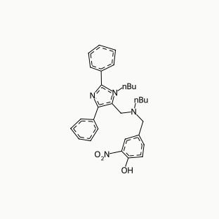 CCCCN(Cc1ccc(O)c([N+](=O)[O-])c1)Cc1c(-c2ccccc2)nc(-c2ccccc2)n1CCCC